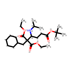 CCOC(=O)C(CC1CCCCC1)(C(=O)OCC)C(CCC(=O)OC(C)(C)C)NC(C)C